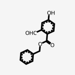 O=Cc1cc(O)ccc1C(=O)OCc1ccccc1